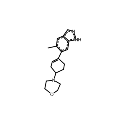 Cc1cc2cn[nH]c2cc1C1=CCC(N2CCOCC2)CC1